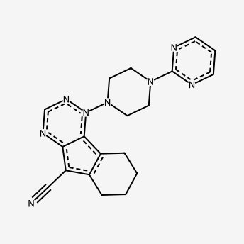 N#Cc1c2ncnn(N3CCN(c4ncccn4)CC3)c-2c2c1CCCC2